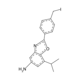 CC(C)c1cc(N)cc2nc(-c3ccc(CI)cc3)oc12